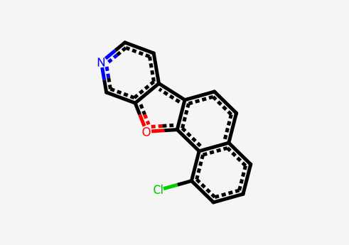 Clc1cccc2ccc3c4ccncc4oc3c12